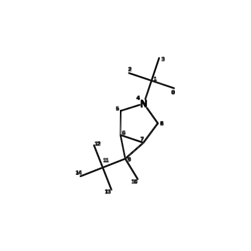 CC(C)(C)N1CC2C(C1)C2(C)C(C)(C)C